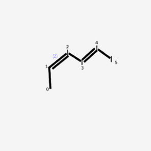 C/C=I\I=II